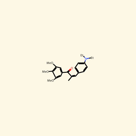 CCN(CC)c1ccc(C=C(C)C(=O)c2cc(OC)c(OC)c(OC)c2)cc1